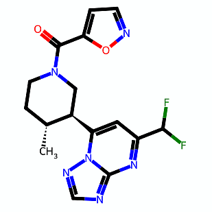 C[C@@H]1CCN(C(=O)c2ccno2)C[C@H]1c1cc(C(F)F)nc2ncnn12